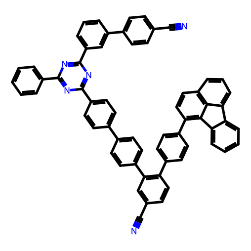 N#Cc1ccc(-c2cccc(-c3nc(-c4ccccc4)nc(-c4ccc(-c5ccc(-c6cc(C#N)ccc6-c6ccc(-c7ccc8cccc9c8c7-c7ccccc7-9)cc6)cc5)cc4)n3)c2)cc1